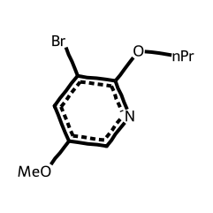 CCCOc1ncc(OC)cc1Br